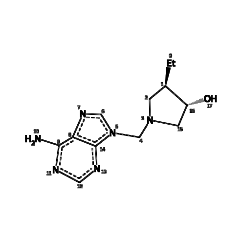 CC[C@@H]1CN(Cn2cnc3c(N)ncnc32)C[C@H]1O